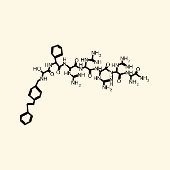 N=C(N)NC(NC(=O)C(NC(=N)N)NC(=O)C(NC(=N)N)NC(=O)C(NC(=N)N)NC(=O)C(NC(=O)C(O)NCc1ccc(/C=C/c2ccccc2)cc1)c1ccccc1)C(=O)NC(N)C(N)=O